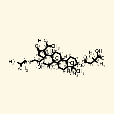 CC(C)CNC[C@H](O)[C@@]12CC[C@]3(C)[C@H](CC[C@@H]4[C@@]5(C)CC[C@H](OC(=O)CC(C)(C)C(=O)O)C(C)(C)[C@@H]5CC[C@]43C)C1=C(C(C)C)C(=O)C2